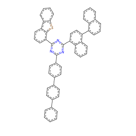 c1ccc(-c2ccc(-c3ccc(-c4nc(-c5ccc(-c6cccc7ccccc67)c6ccccc56)nc(-c5cccc6c5sc5ccccc56)n4)cc3)cc2)cc1